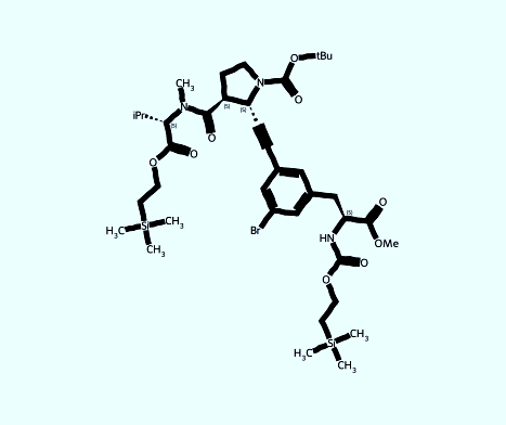 COC(=O)[C@H](Cc1cc(Br)cc(C#C[C@@H]2[C@@H](C(=O)N(C)[C@H](C(=O)OCC[Si](C)(C)C)C(C)C)CCN2C(=O)OC(C)(C)C)c1)NC(=O)OCC[Si](C)(C)C